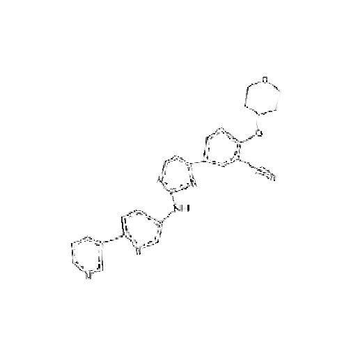 N#Cc1cc(-c2ccnc(Nc3ccc(-c4cccnc4)nc3)n2)ccc1OC1CCOCC1